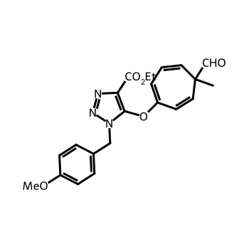 CCOC(=O)c1nnn(Cc2ccc(OC)cc2)c1OC1=CC=CC(C)(C=O)C=C1